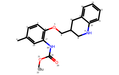 Cc1ccc(OCC2CNc3ccccc3C2)c(NC(=O)OC(C)(C)C)c1